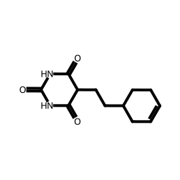 O=C1NC(=O)C(CCC2CC=CCC2)C(=O)N1